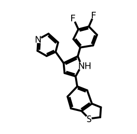 Fc1ccc(-c2[nH]c(-c3ccc4c(c3)CCS4)cc2-c2ccncc2)cc1F